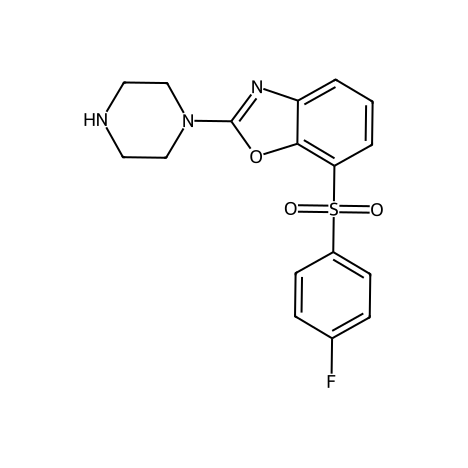 O=S(=O)(c1ccc(F)cc1)c1cccc2nc(N3CCNCC3)oc12